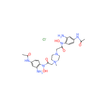 CC(=O)Nc1ccc(N(O)C(=O)CN2CC[N+](C)(CC(=O)N(O)c3ccc(NC(C)=O)cc3N)CC2)c(N)c1.[Cl-]